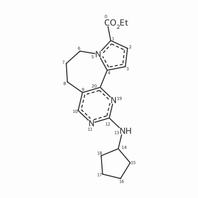 CCOC(=O)c1ccc2n1CCCc1cnc(NC3CCCC3)nc1-2